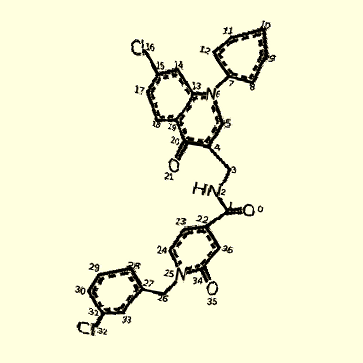 O=C(NCc1cn(-c2ccccc2)c2cc(Cl)ccc2c1=O)c1ccn(Cc2cccc(Cl)c2)c(=O)c1